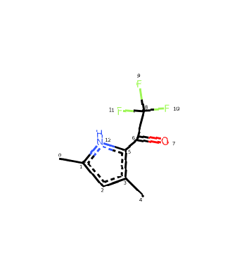 Cc1cc(C)c(C(=O)C(F)(F)F)[nH]1